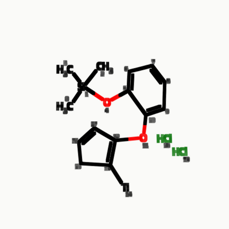 C[Si](C)(C)Oc1ccccc1OC1=[C]([Ti])CC=C1.Cl.Cl